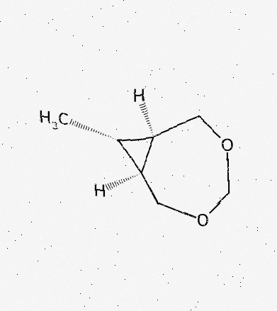 C[C@@H]1[C@H]2COCOC[C@@H]12